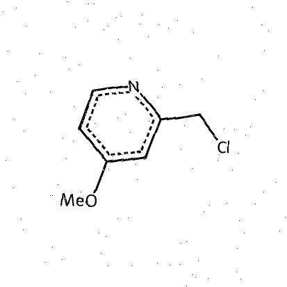 COc1ccnc(CCl)c1